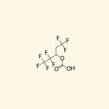 O=C(O)OC(CC(F)(F)F)C(F)(F)C(F)(F)F